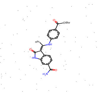 CCCC(Nc1ccc(C(=O)OC)cc1)=C1C(=O)Nc2cc(C(N)=O)ccc21